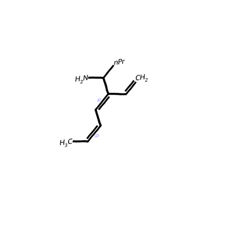 C=C/C(=C\C=C/C)C(N)CCC